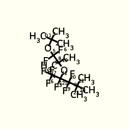 CC(C)(C)OC(F)(F)C(C)(C)OC(F)(C(F)(F)F)C(F)(F)C(C)(C)C